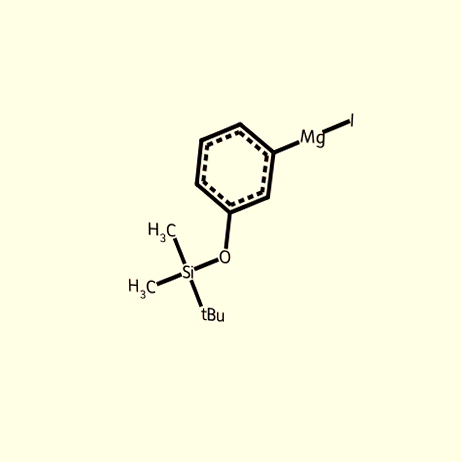 CC(C)(C)[Si](C)(C)Oc1ccc[c]([Mg][I])c1